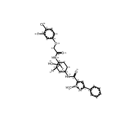 Cn1nc(-c2ccccc2)cc1C(=O)NC12CCC(NC(=O)COc3ccc(Cl)c(F)c3)(CC1)[C@@H](O)C2